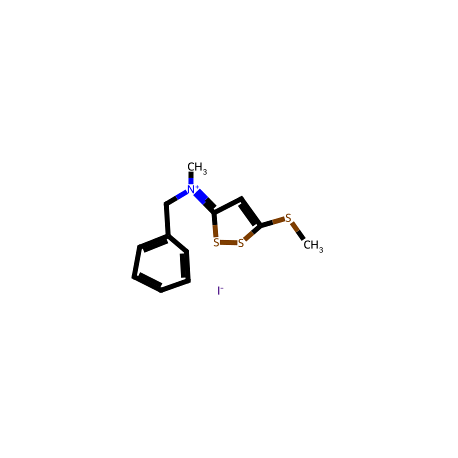 CSc1cc(=[N+](C)Cc2ccccc2)ss1.[I-]